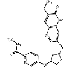 CCc1cc2ncc(CN3CC[C@@H](Oc4ccc(C(=O)NC)nc4)C3)cc2[nH]c1=O